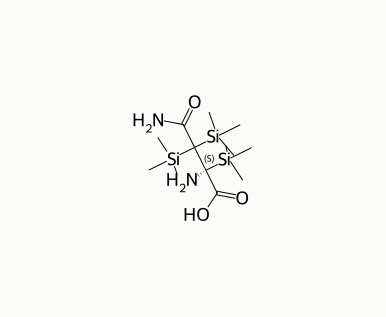 C[Si](C)(C)C(C(N)=O)([C@](N)(C(=O)O)[Si](C)(C)C)[Si](C)(C)C